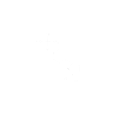 CCC1(CC)CCC(C)(c2ccc(OC(C(F)(F)F)(C(F)(F)F)C(F)(F)F)cc2)N1